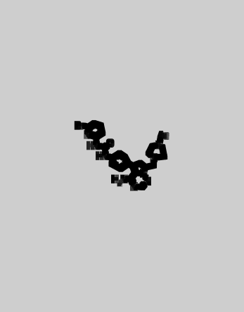 CC(=O)N1CCN(CC2CC(c3ccc(NC(=O)Nc4cccc(Br)n4)cc3)=C3C(N)=NC=NN32)CC1